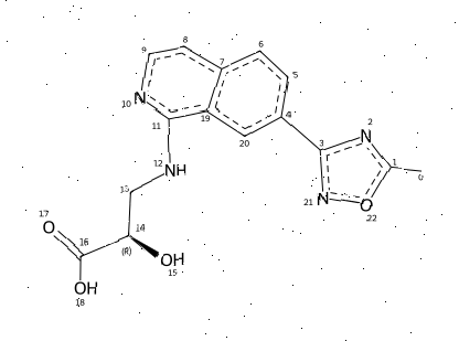 Cc1nc(-c2ccc3ccnc(NC[C@@H](O)C(=O)O)c3c2)no1